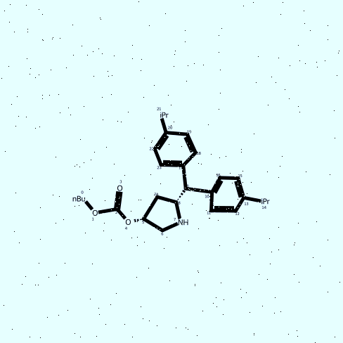 CCCCOC(=O)O[C@H]1CN[C@@H](C(c2ccc(C(C)C)cc2)c2ccc(C(C)C)cc2)C1